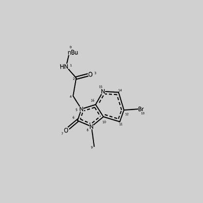 CCCCNC(=O)Cn1c(=O)n(C)c2cc(Br)cnc21